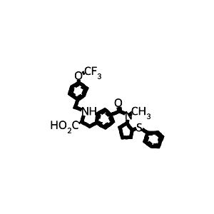 CN(C(=O)c1ccc(C[C@H](NCc2ccc(OC(F)(F)F)cc2)C(=O)O)cc1)C1CCCC1Sc1ccccc1